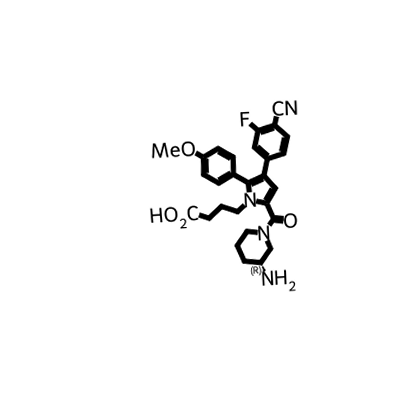 COc1ccc(-c2c(-c3ccc(C#N)c(F)c3)cc(C(=O)N3CCC[C@@H](N)C3)n2CCCC(=O)O)cc1